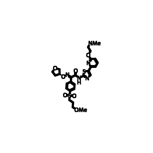 CNCCOc1cccc(-c2cnc(NC(=O)/C(=N/O[C@@H]3CCOC3)c3ccc(S(=O)(=O)CCCOC)cc3)s2)n1